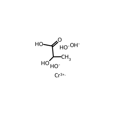 CC(O)C(=O)O.[Cr+3].[OH-].[OH-].[OH-]